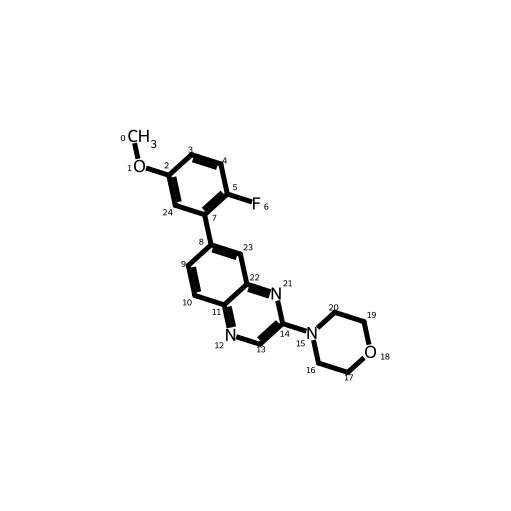 COc1ccc(F)c(-c2ccc3ncc(N4CCOCC4)nc3c2)c1